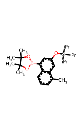 Cc1cccc2c(B3OC(C)(C)C(C)(C)O3)cc(O[Si](C(C)C)(C(C)C)C(C)C)cc12